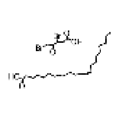 CCCCCC=CC/C=C\CCCCCCCCCCCC(=O)O.O=C(O)CC(Br)C(=O)CBr